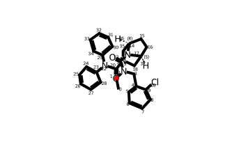 CCN(Cc1ccccc1Cl)C(=O)N1[C@@H]2CC[C@H]1CN(C(=O)N(c1ccccc1)c1ccccc1)C2